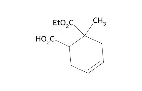 CCOC(=O)C1(C)CC=CCC1C(=O)O